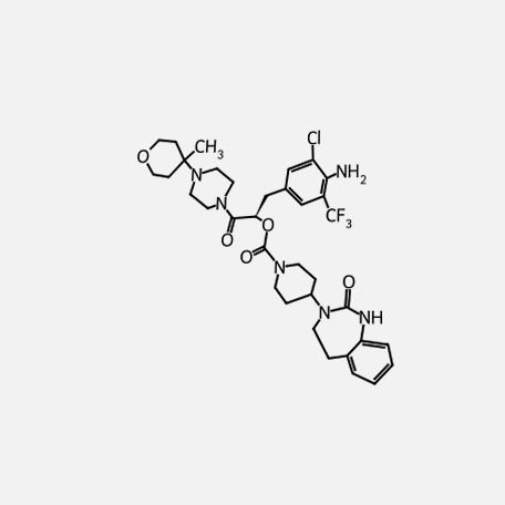 CC1(N2CCN(C(=O)[C@@H](Cc3cc(Cl)c(N)c(C(F)(F)F)c3)OC(=O)N3CCC(N4CCc5ccccc5NC4=O)CC3)CC2)CCOCC1